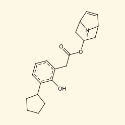 CN1C2C=CC1CC(OC(=O)Cc1cccc(C3CCCC3)c1O)C2